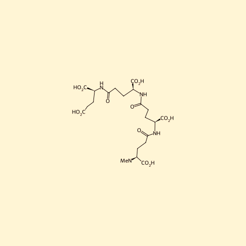 CN[C@@H](CCC(=O)N[C@@H](CCC(=O)N[C@@H](CCC(=O)N[C@@H](CCC(=O)O)C(=O)O)C(=O)O)C(=O)O)C(=O)O